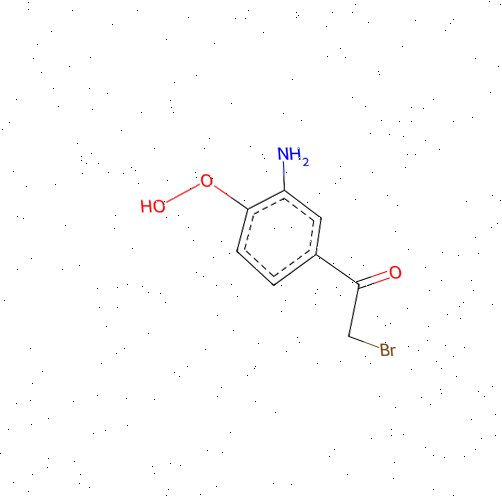 Nc1cc(C(=O)CBr)ccc1OO